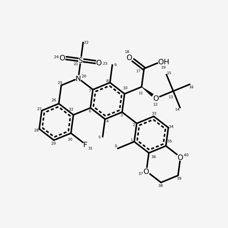 Cc1c(-c2c(C)c3c(c(C)c2[C@H](OC(C)(C)C)C(=O)O)N(S(C)(=O)=O)Cc2cccc(F)c2-3)ccc2c1OCCO2